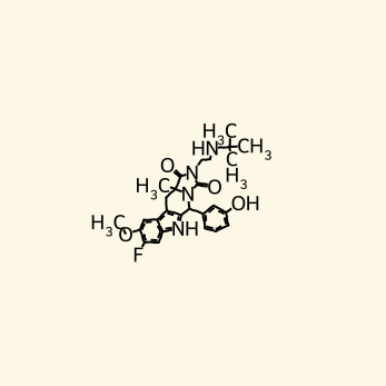 COc1cc2c3c([nH]c2cc1F)C(c1cccc(O)c1)N1C(=O)N(CCNC(C)(C)C)C(=O)C1(C)C3